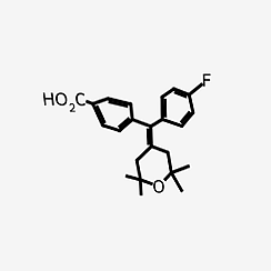 CC1(C)CC(=C(c2ccc(F)cc2)c2ccc(C(=O)O)cc2)CC(C)(C)O1